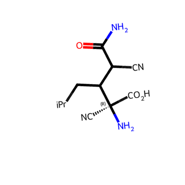 CC(C)CC(C(C#N)C(N)=O)[C@@](N)(C#N)C(=O)O